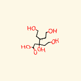 O=C(O)CC(O)(CCO)[C](CCO)CCO